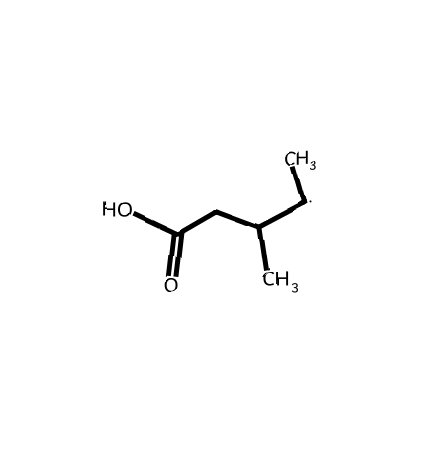 C[CH]C(C)CC(=O)O